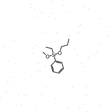 CCCO[Si](CC)(OC)c1ccccc1